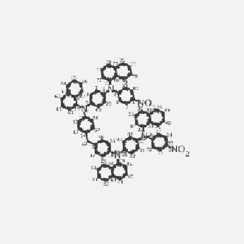 O=[N+]([O-])c1ccc(N(c2ccc(N(c3ccc(Cc4ccc(N(c5ccc(N(c6ccc([N+](=O)[O-])cc6)c6cccc7ccccc67)cc5)c5cccc6ccccc56)cc4)cc3)c3cccc4ccccc34)cc2)c2cccc3ccccc23)cc1